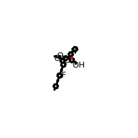 CCOC(=O)c1cc2cc(C#Cc3ccc(C#Cc4ccc(C)cc4)cc3F)ccc2c2c1C=CC(c1ccc(CO)cc1)(c1ccc(N3CCCCC3)cc1)O2